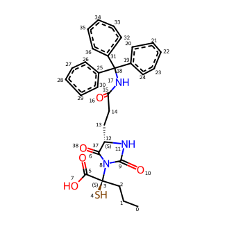 CCC[C@](S)(C(=O)O)N1C(=O)N[C@@H](CCC(=O)NC(c2ccccc2)(c2ccccc2)c2ccccc2)C1=O